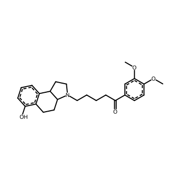 COc1ccc(C(=O)CCCCN2CCC3c4cccc(O)c4CCC32)cc1OC